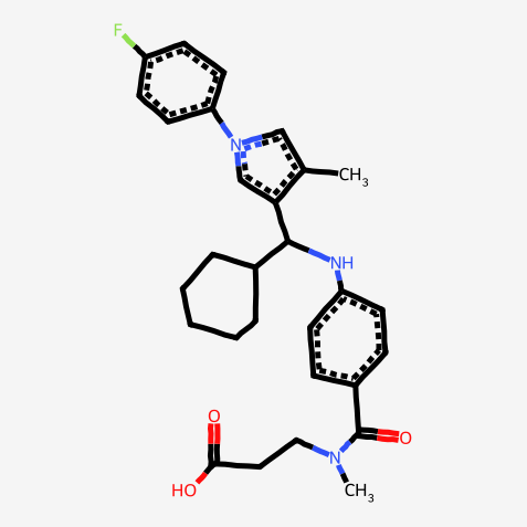 Cc1cn(-c2ccc(F)cc2)cc1C(Nc1ccc(C(=O)N(C)CCC(=O)O)cc1)C1CCCCC1